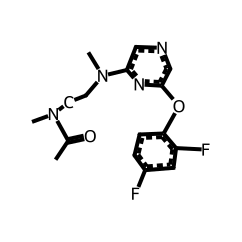 CC(=O)N(C)CCN(C)c1cncc(Oc2ccc(F)cc2F)n1